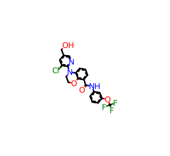 O=C(Nc1cccc(OC(F)(F)F)c1)c1cccc2c1OCCN2c1ncc(CO)cc1Cl